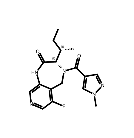 CC[C@H](C)[C@H]1C(=O)Nc2cncc(F)c2CN1C(=O)c1cnn(C)c1